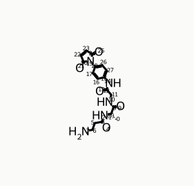 C[C@H](NC(=O)CCN)C(=O)NCC(=O)Nc1ccc(N2C(=O)C=CC2=O)cc1